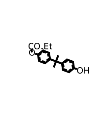 CCOC(=O)Oc1ccc(C(C)(C)c2ccc(O)cc2)cc1